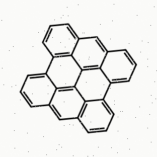 c1cc2cc3cccc4c5cccc6cc7cccc8c(c1)c2c(c34)c(c78)c65